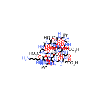 CC(C)C[C@H](NC(=O)[C@@H](NC(=O)[C@@H](N)CCCCN)[C@@H](C)O)C(=O)N[C@@H](CCCCN)C(=O)NCC(=O)N[C@@H](CCC(=O)O)C(=O)N[C@H](C(=O)N[C@H](C(=O)N[C@H](C(=O)N[C@@H](CCC(=O)O)C(=O)N[C@@H](C)C(=O)N[C@H](C(=O)N[C@@H](CC(=O)O)C(=O)N[C@@H](C)C(=O)N[C@@H](C)C(=O)N[C@H](C(=O)N[C@@H](C)C(=O)N[C@@H](CCC(=O)O)C(=O)N[C@@H](CCCCN)C(=O)N[C@H](C(=O)O)C(C)C)[C@@H](C)O)C(C)C)[C@@H](C)O)[C@@H](C)O)[C@@H](C)O